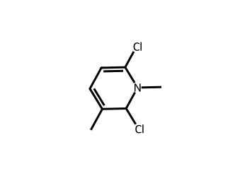 CC1=CC=C(Cl)N(C)C1Cl